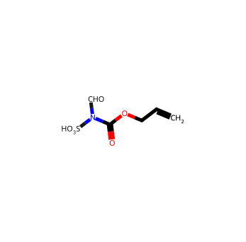 C=CCOC(=O)N(C=O)S(=O)(=O)O